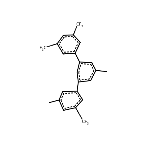 Cc1cc(-c2cc(C)cc(C(F)(F)F)c2)cc(-c2cc(C(F)(F)F)cc(C(F)(F)F)c2)c1